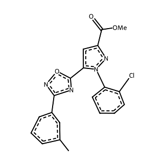 COC(=O)c1cc(-c2nc(-c3cccc(C)c3)no2)n(-c2ccccc2Cl)n1